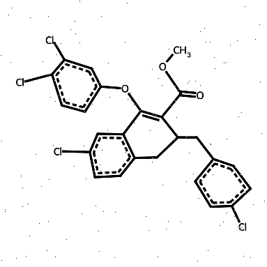 COC(=O)C1=C(Oc2ccc(Cl)c(Cl)c2)c2cc(Cl)ccc2CC1Cc1ccc(Cl)cc1